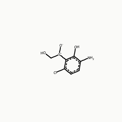 Nc1ccc(Cl)c([S+]([O-])CO)c1O